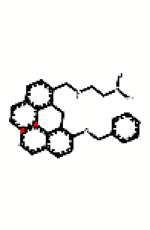 CCN(CC)CCNCc1ccc2ccccc2c1Cc1c(OCc2ccccc2)ccc2ccccc12